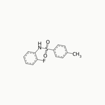 Cc1ccc(S(=O)(=O)Nc2ccccc2F)cc1